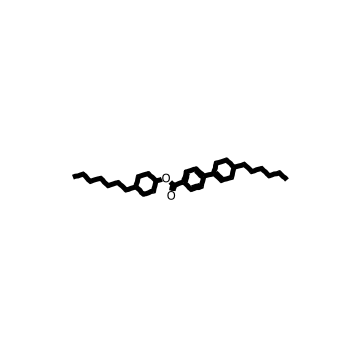 CCCCCCCC1CCC(OC(=O)c2ccc(C3=CCC(CCCCCC)CC3)cc2)CC1